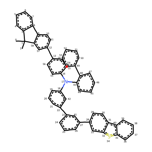 CC1(C)c2ccccc2-c2ccc(-c3ccc(N(c4cccc(-c5cccc(-c6ccc7c(c6)sc6ccccc67)c5)c4)c4ccccc4-c4ccccc4)cc3)cc21